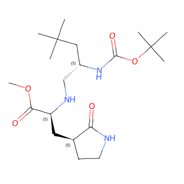 COC(=O)[C@H](C[C@@H]1CCNC1=O)NC[C@H](CC(C)(C)C)NC(=O)OC(C)(C)C